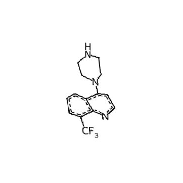 FC(F)(F)c1cccc2c(N3CCNCC3)ccnc12